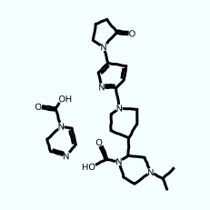 CC(C)N1CCN(C(=O)O)C(C2CCN(c3ccc(N4CCCC4=O)cn3)CC2)C1.O=C(O)N1C=CN=CC1